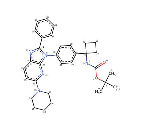 CC(C)(C)OC(=O)NC1(c2ccc(-n3c(-c4ccccc4)nc4ccc(N5CCCCC5)nc43)cc2)CCC1